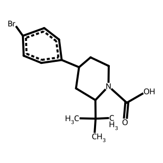 CC(C)(C)C1CC(c2ccc(Br)cc2)CCN1C(=O)O